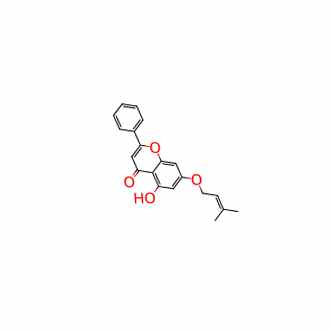 CC(C)=CCOc1cc(O)c2c(=O)cc(-c3ccccc3)oc2c1